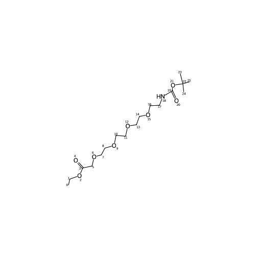 CCOC(=O)COCCOCCOCCOCCNC(=O)OC(C)(C)C